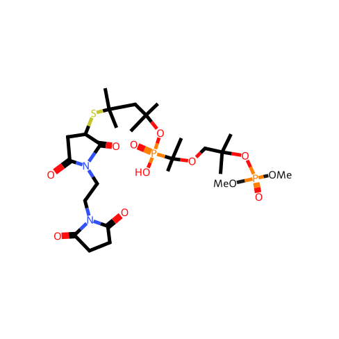 COP(=O)(OC)OC(C)(C)COC(C)(C)P(=O)(O)OC(C)(C)CC(C)(C)SC1CC(=O)N(CCN2C(=O)CCC2=O)C1=O